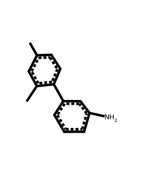 Cc1ccc(-c2cccc(N)c2)c(C)c1